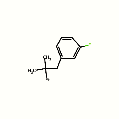 CCC(C)(C)Cc1cccc(F)c1